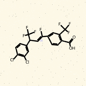 O=C(O)c1ccc(/C(F)=C/C(c2ccc(Cl)c(Cl)c2)C(F)(F)F)cc1C(F)(F)F